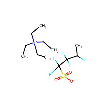 CC(F)C(F)(F)C(F)(F)S(=O)(=O)[O-].CC[N+](CC)(CC)CC